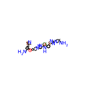 Cc1ncsc1-c1ccc(CN)c(OC2CC3(CCN(c4ccc(C(=O)Nc5cccc(Sc6cnc(N7CCC(C)(CN)CC7)cn6)c5Cl)nn4)CC3)C2)c1